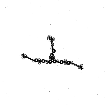 C=C(C)C(=O)OCCCCCCOc1ccc(OC(=O)C2CCC(COc3ccc4c5ccc(OCC6CCC(C(=O)Oc7ccc(OCCCCCCOC(=O)C(=C)C)cc7)CC6)cc5c5nc6cc(-c7cccc(OCCOCCOC(=O)C(=C)C(F)(F)F)c7)ccc6nc5c4c3)CC2)cc1